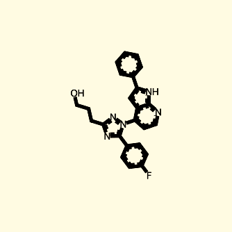 OCCCc1nc(-c2ccc(F)cc2)n(-c2ccnc3[nH]c(-c4ccccc4)cc23)n1